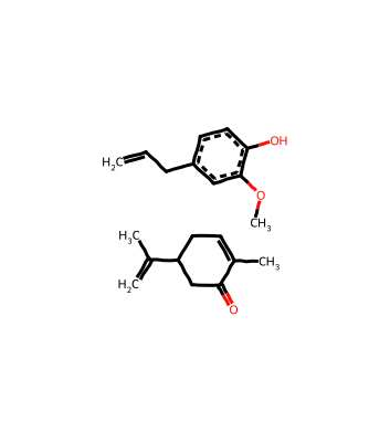 C=C(C)C1CC=C(C)C(=O)C1.C=CCc1ccc(O)c(OC)c1